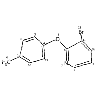 FC(F)(F)c1ccc(Oc2ncccc2Br)cc1